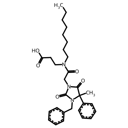 CCCCCCCCN(CCC(=O)O)C(=O)CN1C(=O)N(Cc2ccccc2)C(C)(c2ccccc2)C1=O